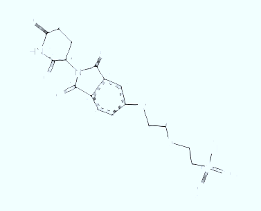 O=C1CCC(N2C(=O)c3ccc(OCCOCCS(=O)(=O)Cl)cc3C2=O)C(=O)N1